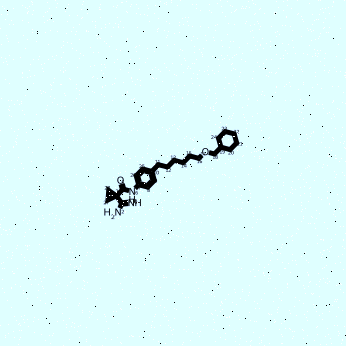 N=C(N)C1(C(=O)Nc2ccc(CCCCCCOCC3CCCCC3)cc2)CC1